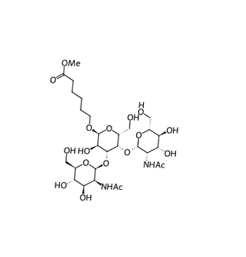 COC(=O)CCCCCO[C@H]1O[C@H](CO)[C@H](O[C@@H]2O[C@H](CO)[C@@H](O)[C@H](O)[C@@H]2NC(C)=O)[C@H](O[C@@H]2O[C@H](CO)[C@@H](O)[C@H](O)[C@@H]2NC(C)=O)[C@H]1O